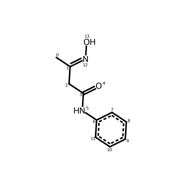 CC(CC(=O)Nc1ccccc1)=NO